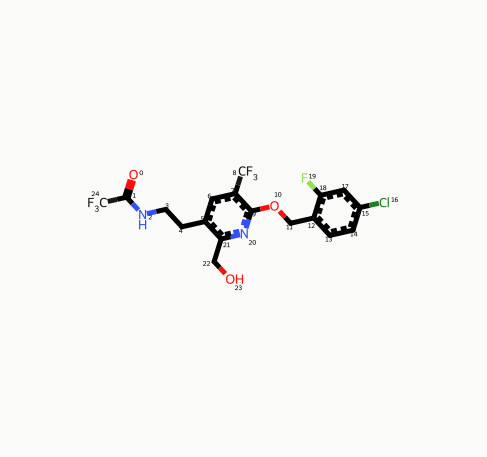 O=C(NCCc1cc(C(F)(F)F)c(OCc2ccc(Cl)cc2F)nc1CO)C(F)(F)F